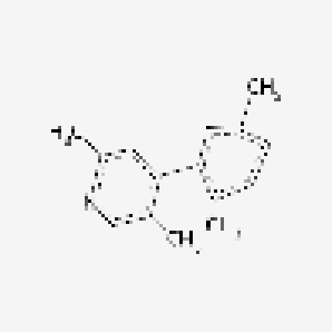 Cc1ccc(C)c(-c2cc(C)ncc2C)c1